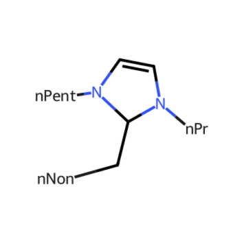 CCCCCCCCCCC1N(CCC)C=CN1CCCCC